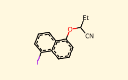 CCC(C#N)Oc1cccc2c(I)cccc12